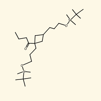 CCCC(=O)C1(CCCO[Si](C)(C)C(C)(C)C)CC(CCCO[Si](C)(C)C(C)(C)C)C1